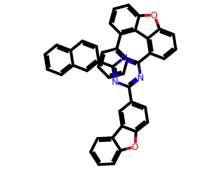 c1ccc(-c2cccc3oc4cccc(-c5nc(-c6ccc7ccccc7c6)nc(-c6ccc7oc8ccccc8c7c6)n5)c4c23)cc1